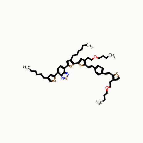 CCCCCCc1csc(-c2ccc(-c3cc(CCCCCC)c(-c4cc(CCOCCCC)c(/C=C/c5ccc(/C=C/c6sccc6CCOCCCC)cc5)s4)s3)c3nsnc23)c1